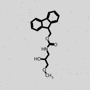 COCC(O)CNC(=O)OCC1c2ccccc2-c2ccccc21